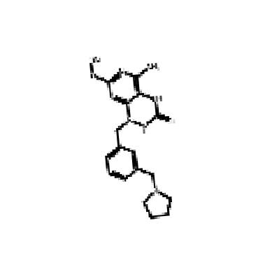 CCCCOc1nc(N)c2c(n1)N(Cc1cccc(CN3CCCC3)c1)NC(=O)N2